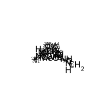 C=C1CC[C@@H](CNCc2ncc(-c3cccc(-c4cccc(-c5cnc(CNC6CCC6)c(OC)n5)c4Cl)c3Cl)nc2OC)N1